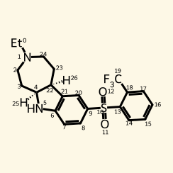 CCN1CC[C@@H]2Nc3ccc(S(=O)(=O)c4ccccc4C(F)(F)F)cc3[C@@H]2CC1